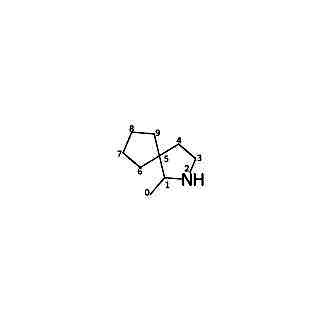 CC1NCCC12CCCC2